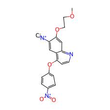 [C-]#[N+]c1cc2c(Oc3ccc([N+](=O)[O-])cc3)ccnc2cc1OCCOC